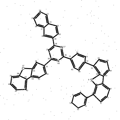 C1=CC(c2cccc3c2sc2c(-c4ccc(-c5nc(-c6ccc7ccccc7c6)cc(-c6ccc7c(c6)oc6ccccc67)n5)cc4)cccc23)=CCC1